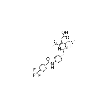 CNCc1nc(Cc2ccc(NC(=O)c3ccc(C(F)(F)F)cc3)cc2)nc(N(C)C)c1CC(=O)O